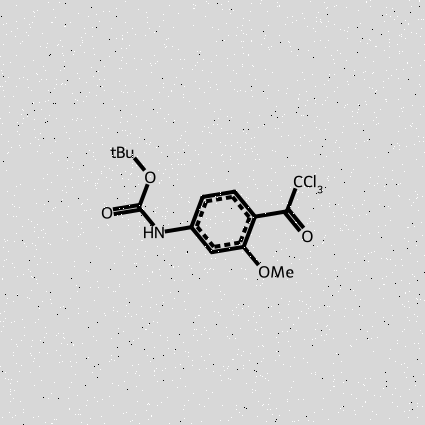 COc1cc(NC(=O)OC(C)(C)C)ccc1C(=O)C(Cl)(Cl)Cl